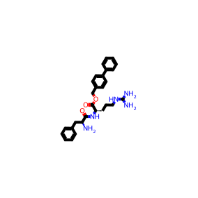 NC(N)NCCC[C@H](NC(=O)[C@@H](N)Cc1ccccc1)C(=O)OCc1ccc(-c2ccccc2)cc1